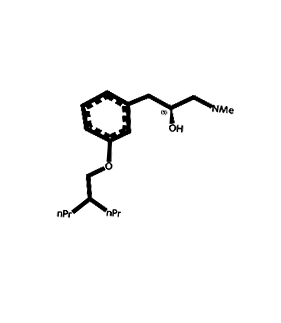 CCCC(CCC)COc1cccc(C[C@H](O)CNC)c1